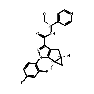 O=C(N[C@H](CO)c1ccncc1)c1nn(-c2ccc(F)cc2F)c2c1C[C@H]1C[C@@H]21